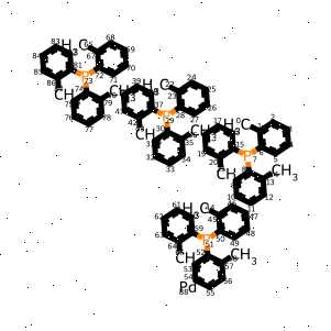 Cc1ccccc1P(c1ccccc1C)c1ccccc1C.Cc1ccccc1P(c1ccccc1C)c1ccccc1C.Cc1ccccc1P(c1ccccc1C)c1ccccc1C.Cc1ccccc1P(c1ccccc1C)c1ccccc1C.[Pd]